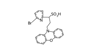 O=S(=O)(O)C(CCN1c2ccccc2Oc2ccccc21)c1cccc(Br)n1